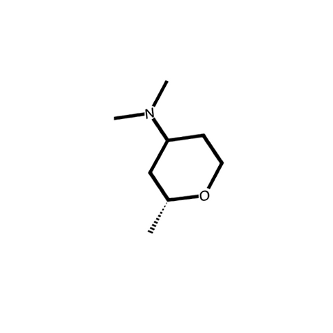 C[C@@H]1CC(N(C)C)CCO1